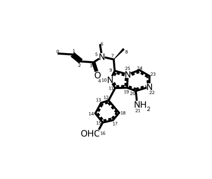 CC#CC(=O)N(C)[C@@H](C)c1nc(-c2ccc(C=O)cc2)c2c(N)nccn12